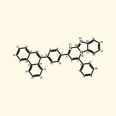 c1ccc(-c2cc(-c3ccc(-c4cc5ccccc5c5ccccc45)cc3)nc3nc4ccccc4n23)cc1